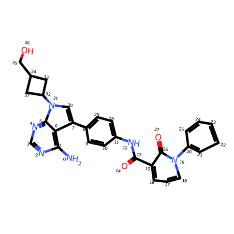 Nc1ncnc2c1c(-c1ccc(NC(=O)c3cccn(-c4ccccc4)c3=O)cc1)cn2C1CC(CO)C1